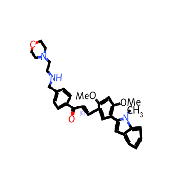 COc1cc(OC)c(-c2cc3ccccc3n2C)cc1/C=C/C(=O)c1ccc(CNCCN2CCOCC2)cc1